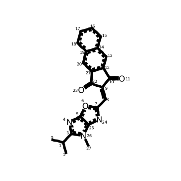 CC(C)c1nc2oc(C=C3C(=O)c4cc5ccccc5cc4C3=O)nc2n1C